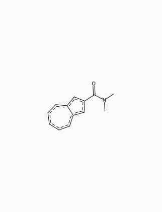 CN(C)C(=O)c1cc2cccccc-2c1